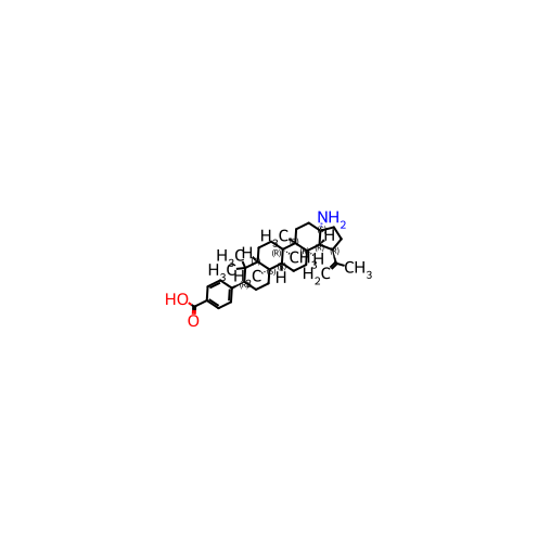 C=C(C)[C@@H]1CC[C@]2(N)CC[C@]3(C)[C@H](CC[C@@H]4[C@@]5(C)CC[C@@H](c6ccc(C(=O)O)cc6)C(C)(C)[C@@H]5CC[C@]43C)[C@@H]12